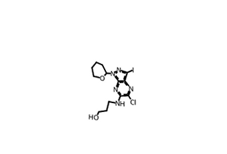 OCCCNc1nc2c(nc1Cl)c(I)nn2C1CCCCO1